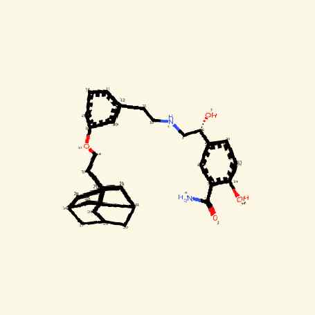 NC(=O)c1cc([C@@H](O)CNCCc2cccc(OCCC34CC5CC(CC(C5)C3)C4)c2)ccc1O